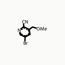 COCc1cc(Br)cnc1C#N